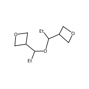 CCC(OC(CC)C1COC1)C1COC1